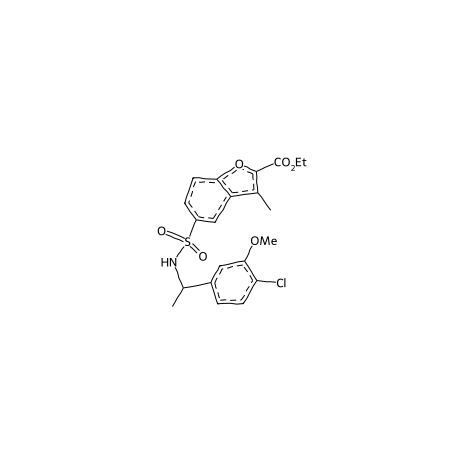 CCOC(=O)c1oc2ccc(S(=O)(=O)NC(C)c3ccc(Cl)c(OC)c3)cc2c1C